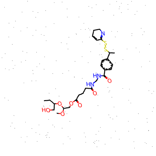 CCC(CO)OC(COC(=O)CCCC(=O)NCNC(=O)c1ccc(C(C)SSC2=NCCC=C2)cc1)OC